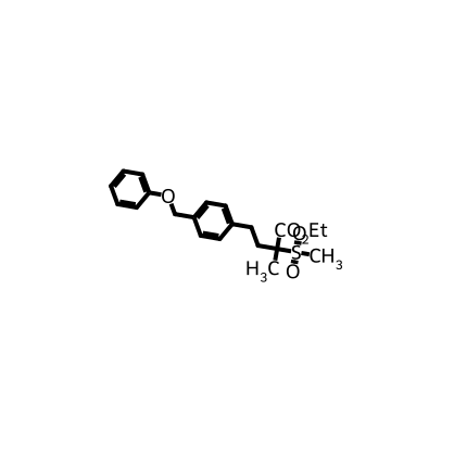 CCOC(=O)C(C)(CCc1ccc(COc2ccccc2)cc1)S(C)(=O)=O